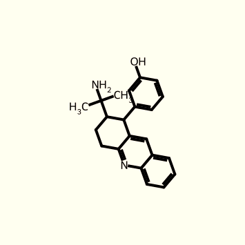 CC(C)(N)C1CCc2nc3ccccc3cc2C1c1cccc(O)c1